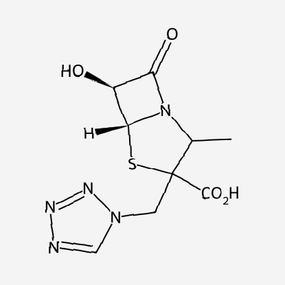 CC1N2C(=O)[C@H](O)[C@H]2SC1(Cn1cnnn1)C(=O)O